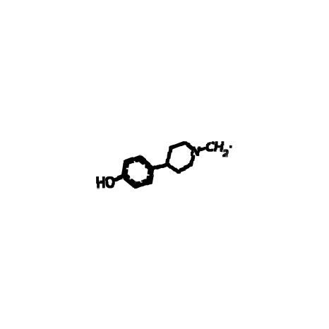 [CH2]N1CCC(c2ccc(O)cc2)CC1